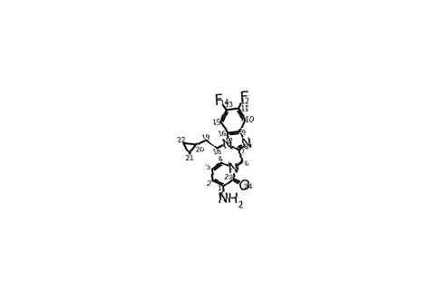 Nc1cccn(Cc2nc3cc(F)c(F)cc3n2CCC2CC2)c1=O